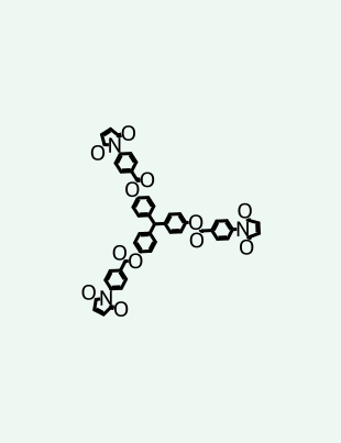 O=C(Oc1ccc(C(c2ccc(OC(=O)c3ccc(N4C(=O)C=CC4=O)cc3)cc2)c2ccc(OC(=O)c3ccc(N4C(=O)C=CC4=O)cc3)cc2)cc1)c1ccc(N2C(=O)C=CC2=O)cc1